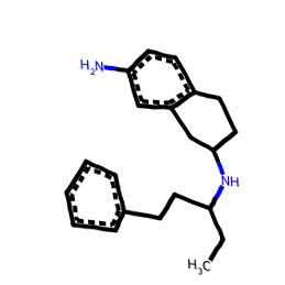 CCC(CCc1ccccc1)NC1CCc2ccc(N)cc2C1